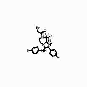 CC1(C)c2nc(-c3ccc(F)cc3)c(Nc3ccc(F)cc3)n2CCN1C(=O)CBr